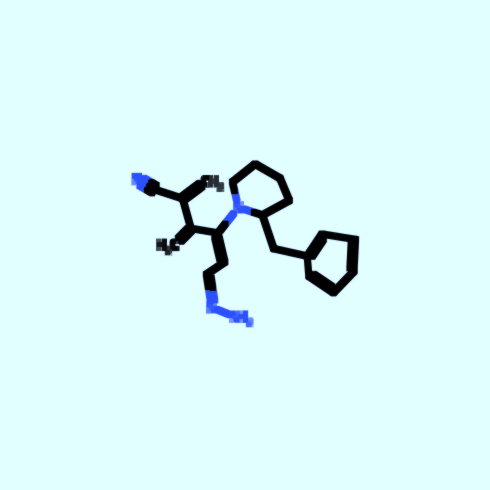 C=C(C#N)C(=C)/C(=C\C=N/N)N1CCCCC1Cc1ccccc1